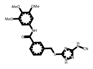 COc1cc(NC(=O)c2cccc(CSc3nc(NC#N)n[nH]3)c2)cc(OC)c1OC